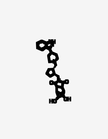 O=C1C2C3CC(C(O)C3O)C2C(=O)N1C[C@H]1CCC[C@@H]1CN1CCC(c2n[nH]c3ccccc23)CC1